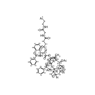 CC(=O)CCNC(=O)CNC(=O)CCC(=O)O[C@@H](C(=O)O[C@H]1C[C@@]2(O)[C@@H](CC(=O)c3ccccc3)[C@@H]3[C@]4(OC(C)=O)CO[C@@H]4C[C@H](O)[C@@]3(C)C(=O)[C@H](OC(C)=O)C(=C1C)C2(C)C)C(NC(=O)c1ccccc1)c1ccccc1